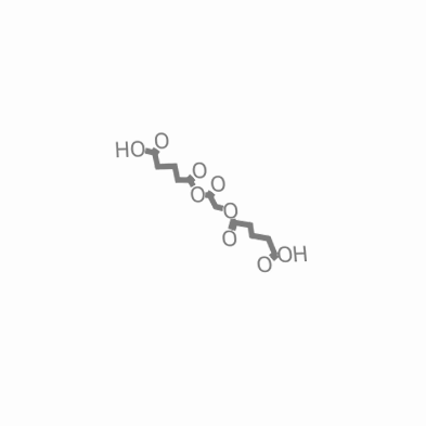 O=C(O)CCCC(=O)OCC(=O)OC(=O)CCCC(=O)O